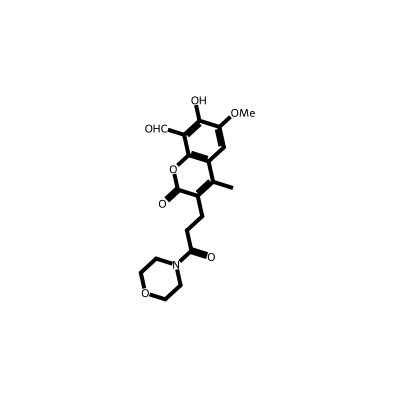 COc1cc2c(C)c(CCC(=O)N3CCOCC3)c(=O)oc2c(C=O)c1O